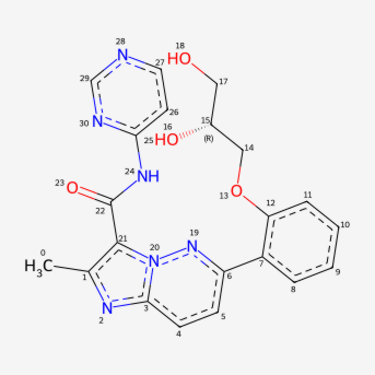 Cc1nc2ccc(-c3ccccc3OC[C@H](O)CO)nn2c1C(=O)Nc1ccncn1